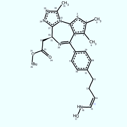 Cc1sc2c(c1C)C(c1ccc(CC/C=C\NO)cc1)=N[C@@H](CC(=O)OC(C)(C)C)c1nnc(C)n1-2